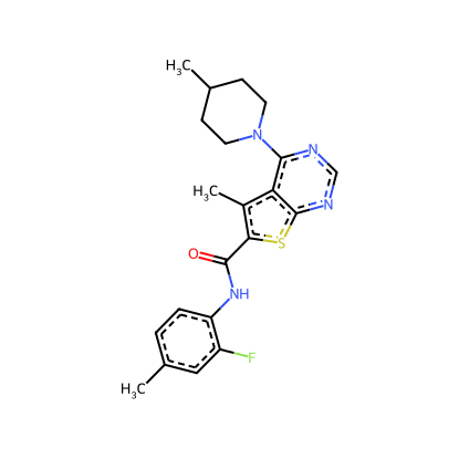 Cc1ccc(NC(=O)c2sc3ncnc(N4CCC(C)CC4)c3c2C)c(F)c1